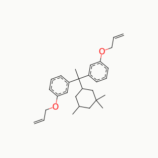 C=CCOc1cccc(C(C)(c2cccc(OCC=C)c2)C2CC(C)CC(C)(C)C2)c1